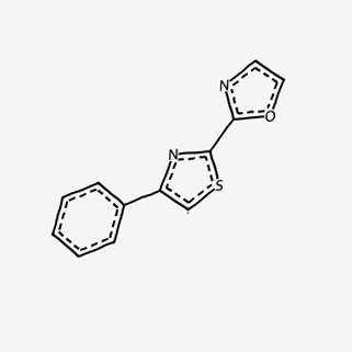 [c]1sc(-c2ncco2)nc1-c1ccccc1